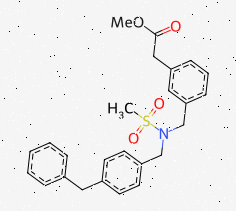 COC(=O)Cc1cccc(CN(Cc2ccc(Cc3ccccc3)cc2)S(C)(=O)=O)c1